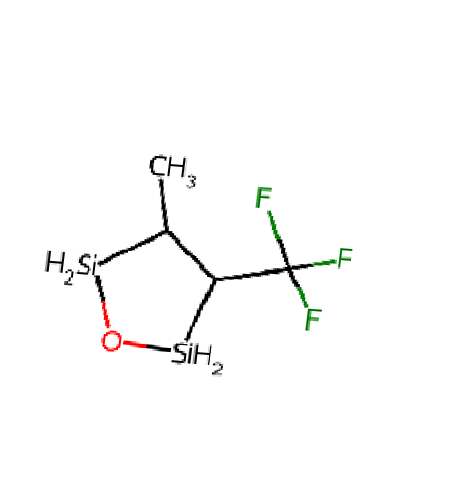 CC1[SiH2]O[SiH2]C1C(F)(F)F